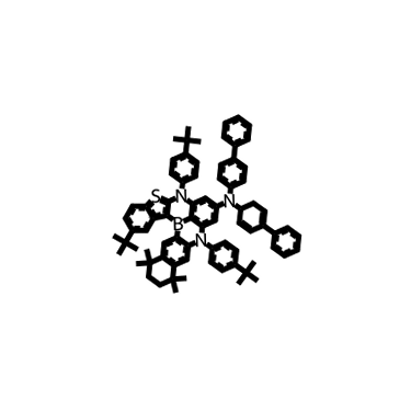 CC(C)(C)c1ccc(N2c3cc4c(cc3B3c5c2cc(N(c2ccc(-c6ccccc6)cc2)C2C=CC(c6ccccc6)=CC2)cc5N(c2ccc(C(C)(C)C)cc2)c2sc5ccc(C(C)(C)C)cc5c23)C(C)(C)CCC4(C)C)cc1